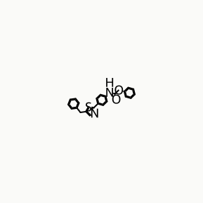 O=C(Nc1ccc(-c2ncc(Cc3ccccc3)s2)cc1)Oc1ccccc1